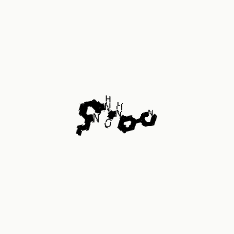 CCCc1cccc(NC(=O)Nc2cccc(-c3cccnc3)c2)n1